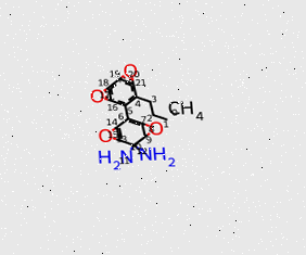 C.CCCc1c(C2=C3OC3C(N)(N)C3=C2O3)c2oc2c2oc12